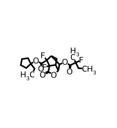 CCC1(OC(=O)C2(F)C3CC4C(OC(=O)C42F)C3OC(=O)C(C)(F)CC)CCCC1